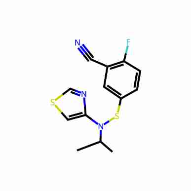 CC(C)N(Sc1ccc(F)c(C#N)c1)c1cscn1